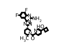 C[C@H]1CC[C@@H](c2nc3c4cc(F)cc(F)c4nc(N)n3n2)CN1C(=O)c1ccc(C2(O)CCC2)cn1